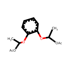 CC(=O)OC(C)Oc1ccccc1OC(C)OC(C)=O